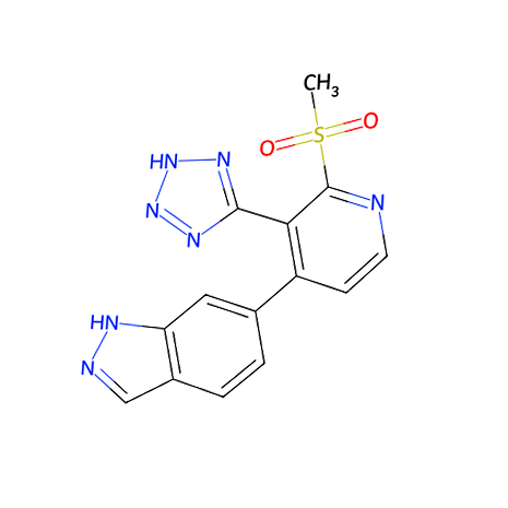 CS(=O)(=O)c1nccc(-c2ccc3cn[nH]c3c2)c1-c1nn[nH]n1